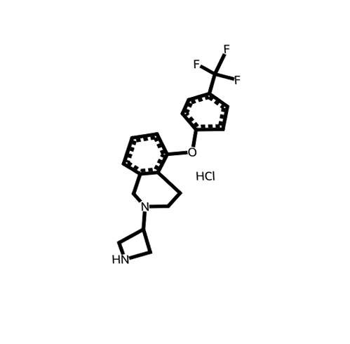 Cl.FC(F)(F)c1ccc(Oc2cccc3c2CCN(C2CNC2)C3)cc1